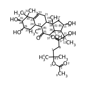 CC(=O)OC(C)(C)CCC(=O)[C@](C)(O)C1[C@H](O)C[C@@]2(C)C3CC=C4C(CC(O)[C@@H](O)C4(C)C)[C@]3(C)C(=O)C[C@]12C